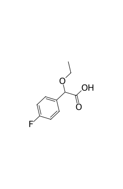 CCOC(C(=O)O)c1ccc(F)cc1